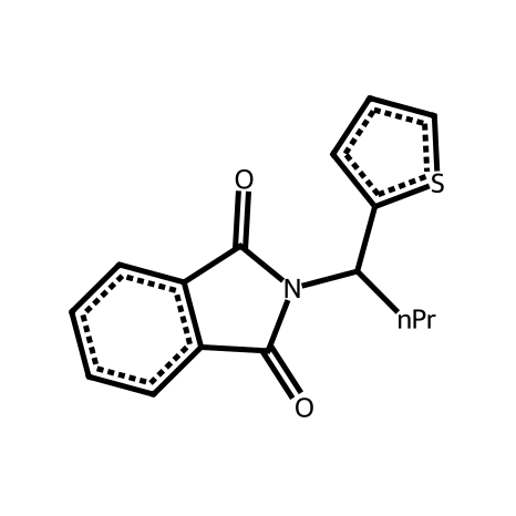 CCCC(c1cccs1)N1C(=O)c2ccccc2C1=O